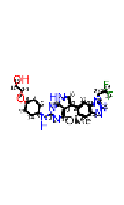 COc1nc(NC2CCC(OCCO)CC2)nc2[nH]cc(-c3ccc4nnn(CC(F)F)c4c3)c12